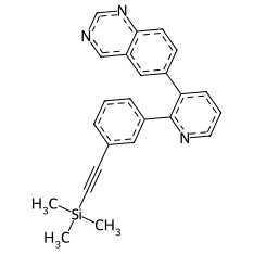 C[Si](C)(C)C#Cc1cccc(-c2ncccc2-c2ccc3ncncc3c2)c1